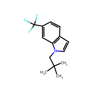 CC(C)(C)Cn1ccc2ccc(C(F)(F)F)cc21